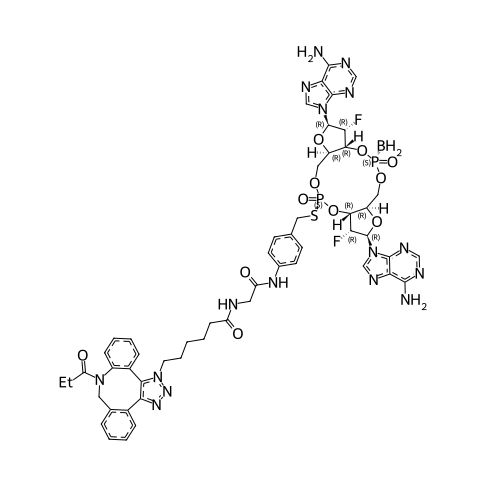 B[P@]1(=O)OC[C@H]2O[C@@H](n3cnc4c(N)ncnc43)[C@H](F)[C@@H]2O[P@@](=O)(SCc2ccc(NC(=O)CNC(=O)CCCCCn3nnc4c3-c3ccccc3N(C(=O)CC)Cc3ccccc3-4)cc2)OC[C@H]2O[C@@H](n3cnc4c(N)ncnc43)[C@H](F)[C@@H]2O1